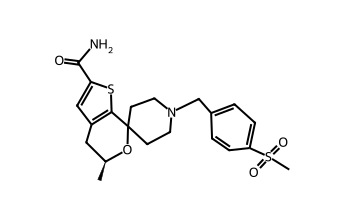 C[C@H]1Cc2cc(C(N)=O)sc2C2(CCN(Cc3ccc(S(C)(=O)=O)cc3)CC2)O1